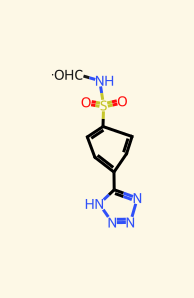 O=[C]NS(=O)(=O)c1ccc(-c2nnn[nH]2)cc1